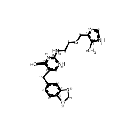 Cc1[nH]cnc1CSCCNc1nc(=O)c(Cc2ccc3c(c2)OCO3)c[nH]1